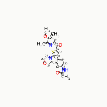 COc1c(C)cc(C(=O)c2cc(-c3ccc(NC(C)=O)cc3)c(N3CCOCC3)s2)nc1C